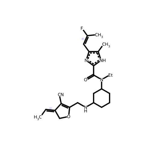 C/C=C1\COC(CNC2CCCC(N(CC)C(=O)c3nc(/C=C(\C)F)c(C)[nH]3)C2)=C1C#N